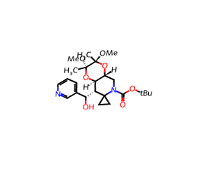 CO[C@@]1(C)O[C@@H]2[C@@H](C(O)c3cccnc3)C3(CC3)N(C(=O)OC(C)(C)C)C[C@H]2O[C@]1(C)OC